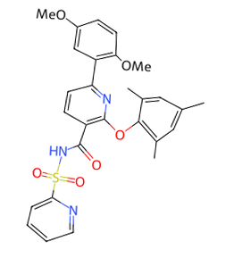 COc1ccc(OC)c(-c2ccc(C(=O)NS(=O)(=O)c3ccccn3)c(Oc3c(C)cc(C)cc3C)n2)c1